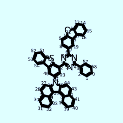 c1ccc(-c2nc(-c3ccc4oc5ccccc5c4c3)nc(-c3cc(-n4c5ccc6ccccc6c5c5c6ccccc6ccc54)cc4c3sc3ccccc34)n2)cc1